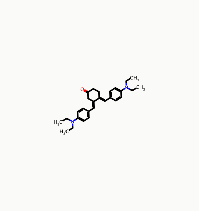 CCN(CC)c1ccc(C=C2CCC(=O)CC2=Cc2ccc(N(CC)CC)cc2)cc1